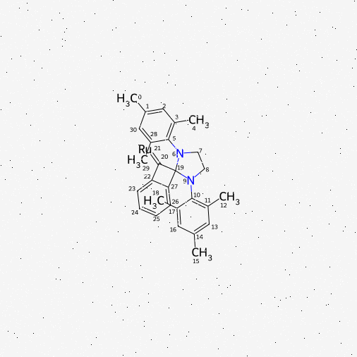 Cc1cc(C)c(N2CCN(c3c(C)cc(C)cc3C)C23[C](=[Ru])c2ccccc23)c(C)c1